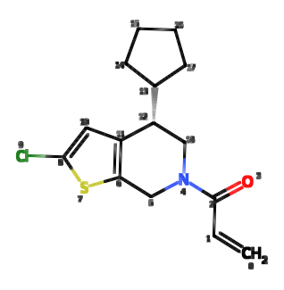 C=CC(=O)N1Cc2sc(Cl)cc2[C@H](C2CCCC2)C1